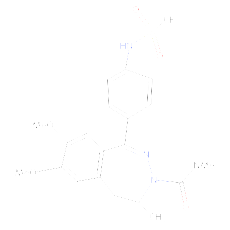 CNC(=O)N1N=C(c2ccc(NS(=O)(=O)C(F)(F)F)cc2)c2cc(OC)c(OC)cc2CC1C